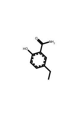 CCc1ccc(O)c(C(N)=O)c1